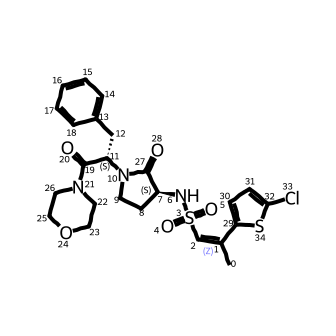 C/C(=C/S(=O)(=O)N[C@H]1CCN([C@@H](Cc2ccccc2)C(=O)N2CCOCC2)C1=O)c1ccc(Cl)s1